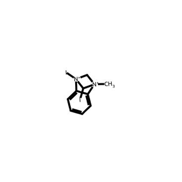 C[N+]12C[N+](I)(c3ccccc31)C2I